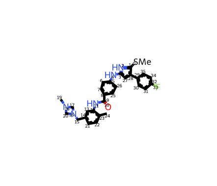 CSc1[nH]c(Nc2ccc(C(=O)Nc3cc(CN4CN(C)C4)ccc3C)cc2)cc1-c1ccc(F)cc1